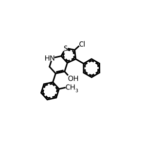 Cc1ccccc1C1=C(O)c2c(sc(Cl)c2-c2ccccc2)NC1